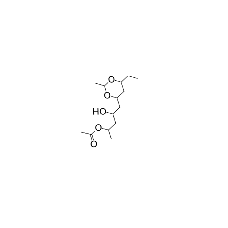 CCC1CC(CC(O)CC(C)OC(C)=O)OC(C)O1